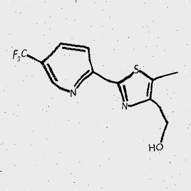 Cc1sc(-c2ccc(C(F)(F)F)cn2)nc1CO